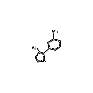 Cc1ccsc1-c1cccc(N)c1